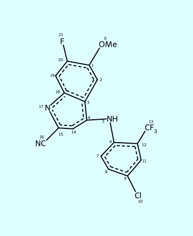 COc1cc2c(Nc3ccc(Cl)cc3C(F)(F)F)cc(C#N)nc2cc1F